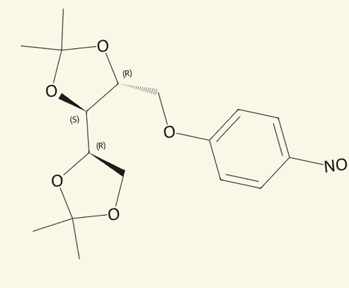 CC1(C)OC[C@H]([C@H]2OC(C)(C)O[C@@H]2COc2ccc([N+](=O)[O-])cc2)O1